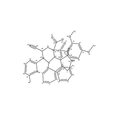 CCOc1ccccc1C1C(C2C(=O)Nc3ccccc32)[N+](C(=O)[O-])(S(=O)(=O)c2ccc(OC)cc2OC)CC(C#N)N1c1cccc(C)n1